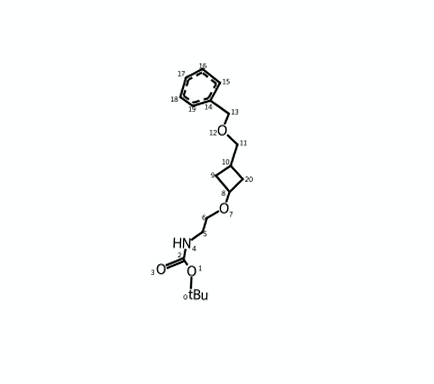 CC(C)(C)OC(=O)NCCOC1CC(COCc2ccccc2)C1